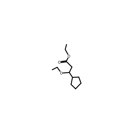 CCOC(=O)CC(OCC)C1CCCC1